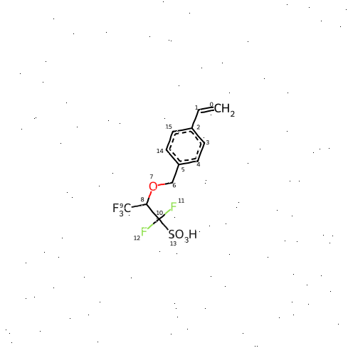 C=Cc1ccc(COC(C(F)(F)F)C(F)(F)S(=O)(=O)O)cc1